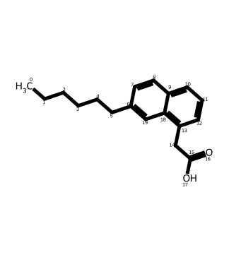 CCCCCCc1ccc2cccc(CC(=O)O)c2c1